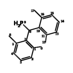 Cc1cccc(C)c1C(P)c1c(C)cccc1C